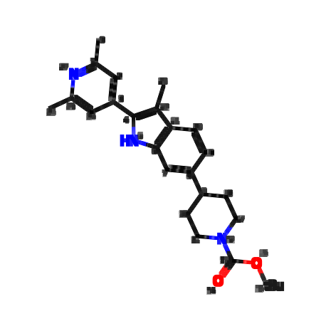 Cc1cc(-c2[nH]c3cc(C4CCN(C(=O)OC(C)(C)C)CC4)ccc3c2C)cc(C)n1